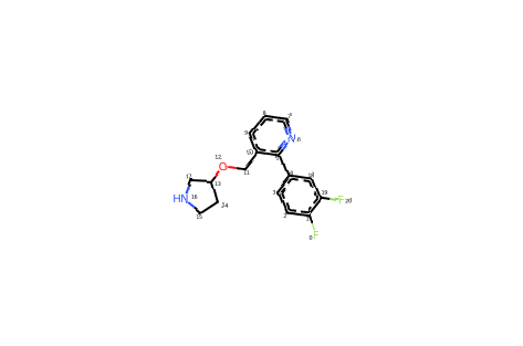 Fc1ccc(-c2ncccc2COC2CCNC2)cc1F